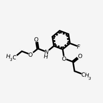 CCOC(=O)Nc1cccc(F)c1OC(=O)CC